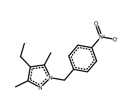 [CH2]Cc1c(C)nn(Cc2ccc([N+](=O)[O-])cc2)c1C